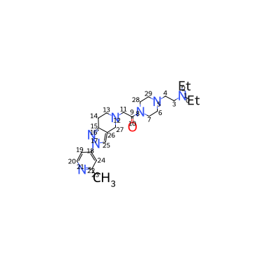 CCN(CC)CCN1CCN(C(=O)CN2CCc3nn(-c4ccnc(C)c4)cc3C2)CC1